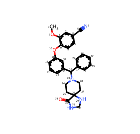 COc1cc(C#N)ccc1Oc1cccc(C(c2ccccc2)N2CCC3(CC2)NCNC3=O)c1